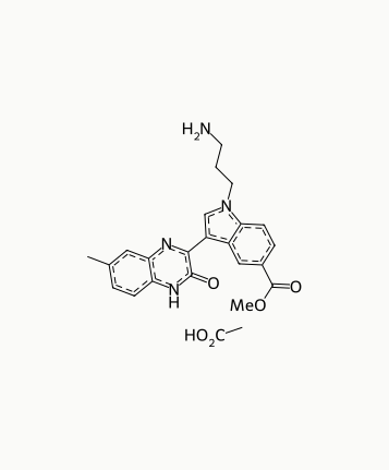 CC(=O)O.COC(=O)c1ccc2c(c1)c(-c1nc3cc(C)ccc3[nH]c1=O)cn2CCCN